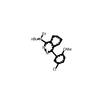 CCCCN(CC)c1nnc(-c2cc(Cl)ccc2OC)c2ccccc12